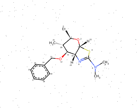 CC[C@H]1O[C@@H]2SC(N(C)C)=N[C@@H]2[C@@H](OCc2ccccc2)[C@@H]1C